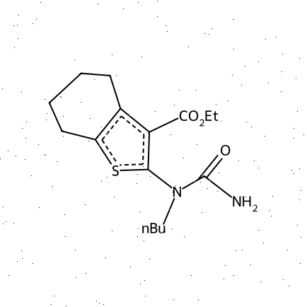 CCCCN(C(N)=O)c1sc2c(c1C(=O)OCC)CCCC2